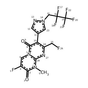 Cn1c(=O)c(F)cn2c(=O)c(-c3cnn(CC(F)(F)C(F)(F)F)c3)c(CF)nc12